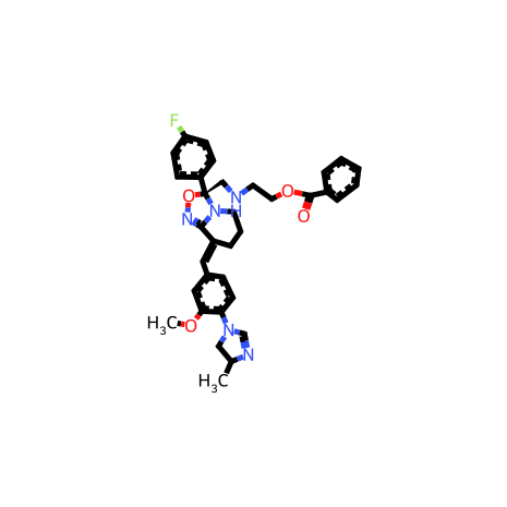 COc1cc(/C=C2\CCCN3C2=NO[C@]3(CNCCOC(=O)c2ccccc2)c2ccc(F)cc2)ccc1N1C=NC(C)C1